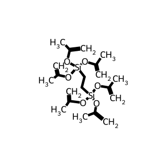 C=C(C)O[Si](CC[Si](OC(=C)C)(OC(=C)C)OC(=C)C)(OC(=C)C)OC(=C)C